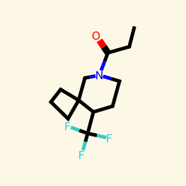 CCC(=O)N1CCC(C(F)(F)F)C2(CCC2)C1